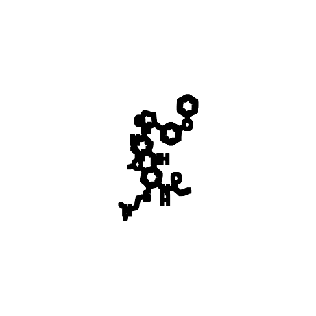 C=CC(=O)Nc1cc(Nc2cc(N3OCCC3c3cccc(Oc4ccccc4)c3)ncn2)c(OC)cc1SCCN(C)C